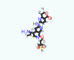 CC[C@@](C)(N)c1cnc(O[C@H](C)CC(C)(C)S(C)(=O)=O)c2cnc(Nc3ccc4c(n3)[C@@H](C)[C@H](C)OC4=O)cc12